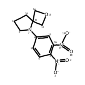 O=[N+]([O-])c1ccc(N2CCCC23COC3)cc1[N+](=O)[O-]